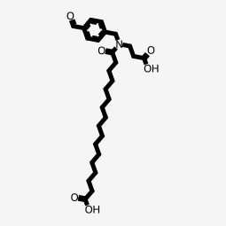 O=Cc1ccc(CN(CCC(=O)O)C(=O)CCCCCCCCCCCCCCCC(=O)O)cc1